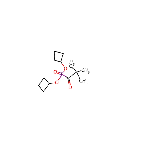 CC(C)(C)C(=O)P(=O)(OC1CCC1)OC1CCC1